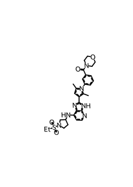 CCS(=O)(=O)N1CCC(Nc2ccnc3[nH]c(-c4cc(C)n(-c5cccc(C(=O)N6CCOCC6)c5)c4C)nc23)C1